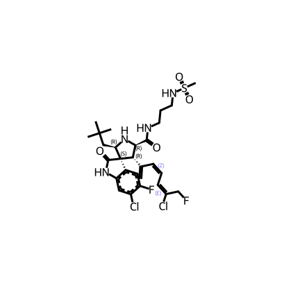 C=C(/C=C\C=C(\Cl)CF)[C@H]1[C@H](C(=O)NCCCNS(C)(=O)=O)N[C@H](CC(C)(C)C)[C@]12C(=O)Nc1cc(Cl)c(F)cc12